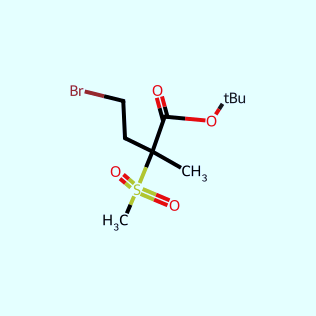 CC(C)(C)OC(=O)C(C)(CCBr)S(C)(=O)=O